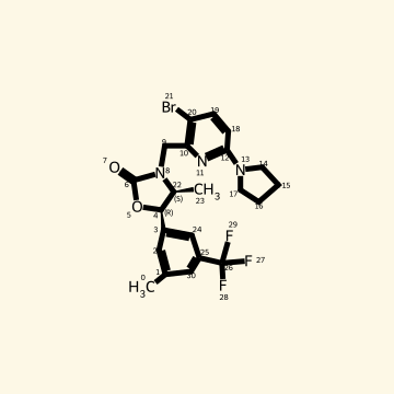 Cc1cc([C@H]2OC(=O)N(Cc3nc(N4CCCC4)ccc3Br)[C@H]2C)cc(C(F)(F)F)c1